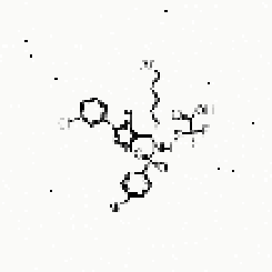 CC(=O)CCCCC[C@H](NS(=O)(=O)c1ccc(C#N)cc1)c1ncc(-c2cccc(Cl)c2)[nH]1.O=C(O)C(F)(F)F